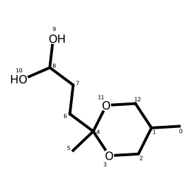 CC1COC(C)(CCC(O)O)OC1